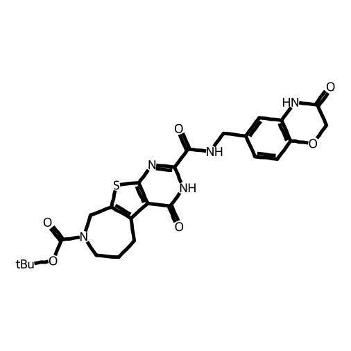 CC(C)(C)OC(=O)N1CCCc2c(sc3nc(C(=O)NCc4ccc5c(c4)NC(=O)CO5)[nH]c(=O)c23)C1